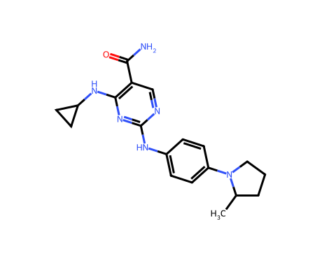 CC1CCCN1c1ccc(Nc2ncc(C(N)=O)c(NC3CC3)n2)cc1